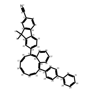 CC1(C)c2cc(C#N)ccc2-c2ccc(-c3ccccccc(-c4ccc(-c5ccccc5)cc4)c4ccccc34)cc21